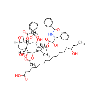 CC(=O)O[C@H]1C(=O)[C@@]2(C)[C@H]([C@H](OC(=O)c3ccccc3)[C@]3(O)C[C@H](OC(=O)[C@H](O)[C@@H](NC(=O)c4ccccc4)c4ccccc4)C(C)=C1C3(C)C)[C@]1(OC(C)=O)CO[C@@H]1C[C@@H]2O.CCCC(O)CCCCCCCCCCCCCC(=O)O